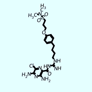 CN(C)S(=O)(=O)CCCOc1ccc(CCCCNC(=N)NC(=O)c2nc(Cl)c(N)nc2N)cc1